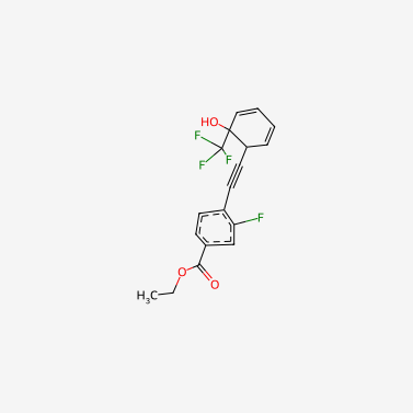 CCOC(=O)c1ccc(C#CC2C=CC=CC2(O)C(F)(F)F)c(F)c1